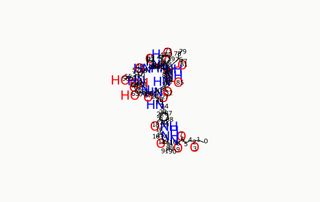 CCC(=O)CCC(=O)C(=O)NC(C(=O)N[C@@H](C)C(=O)Nc1ccc(CNC(=O)C[C@@H]2NC(=O)C3CSc4[nH]c5ccccc5c4C[C@H](NC(=O)[C@H]([C@@H](C)[C@@H](O)CO)NC4(C=O)C[C@@H](O)CN4C2=O)C(=O)NCC(=O)N[C@@H]([C@@H](C)CC)C(=O)NCC(=O)N3)cc1)C(C)C